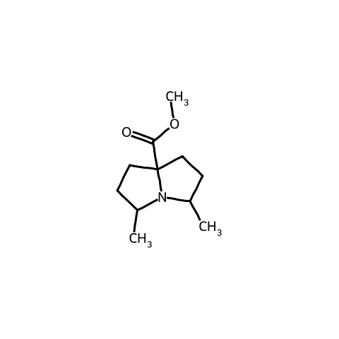 COC(=O)C12CCC(C)N1C(C)CC2